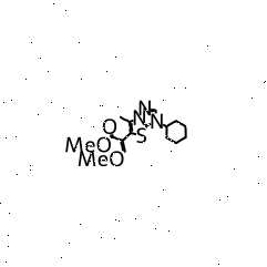 CO/C=C(\C(=O)OC)C1=C(C)N2N=CN(C3CCCCC3)C2S1